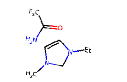 CCN1C=CN(C)C1.NC(=O)C(F)(F)F